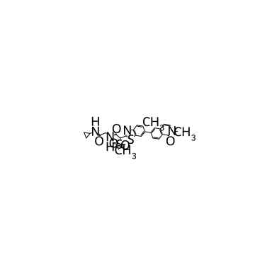 Cc1cc2nc(C(C(=O)NCC(=O)NC3CC3)S(C)(=O)=O)sc2cc1-c1ccc2c(=O)n(C)ccc2c1